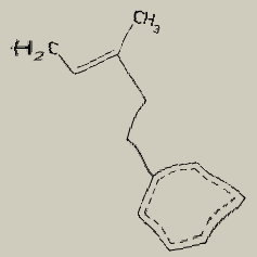 [CH2]C=C(C)CCc1ccccc1